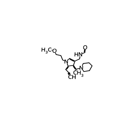 C#C/C=c1\c(=C(/C)N2CCCCC2)c(CNC=O)cn1CCCOC